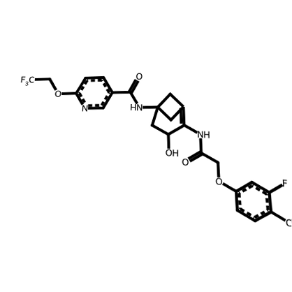 O=C(COc1ccc(Cl)c(F)c1)NC1=C2CC(NC(=O)c3ccc(OCC(F)(F)F)nc3)(C2)CC1O